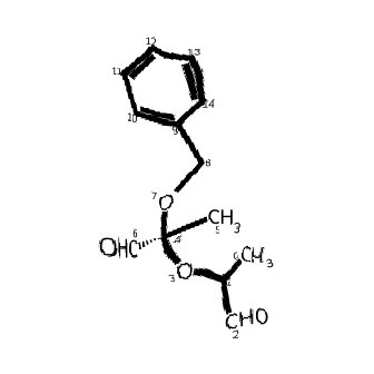 C[C](C=O)O[C@@](C)(C=O)OCc1ccccc1